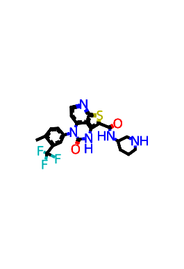 Cc1ccc(N2C(=O)Nc3c(C(=O)NC4CCCNC4)sc4nccc2c34)cc1C(F)(F)F